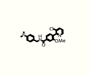 COc1cc(C(=O)NCc2ccc(N(C)C)cc2)ccc1-c1ncccc1Cl